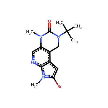 CN1C(=O)N(C(C)(C)C)Cc2c1cnc1c2cc(Br)n1C